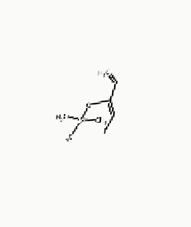 C=CC(=CI)O[Si](C)(C)C